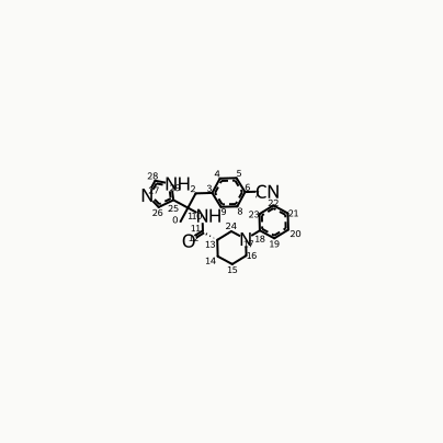 CC(Cc1ccc(C#N)cc1)(NC(=O)[C@H]1CCCN(c2ccccc2)C1)c1cnc[nH]1